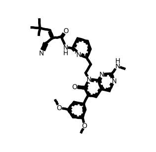 CNc1ncc2cc(-c3cc(OC)cc(OC)c3)c(=O)n(CCc3cccc(NC(=O)C(C#N)=CC(C)(C)C)n3)c2n1